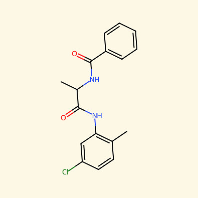 Cc1ccc(Cl)cc1NC(=O)C(C)NC(=O)c1ccccc1